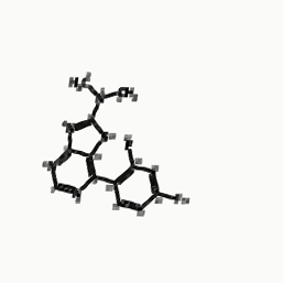 CN(C)c1nc2ncnc(-c3ccc(F)cc3F)c2s1